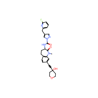 CN1C(=O)C(NC(=O)n2cc(Cc3cccc(F)n3)cn2)CCc2ccc(C#CC3(O)CCOCC3)cc21